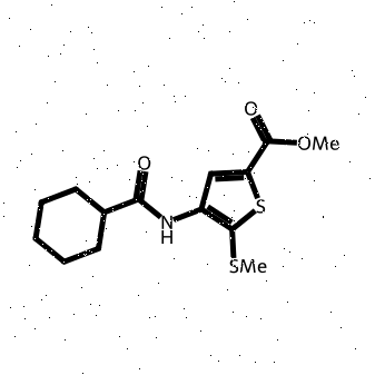 COC(=O)c1cc(NC(=O)C2CCCCC2)c(SC)s1